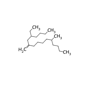 C=C(CCCCC(C)CCCC)CC(CC)CCCC